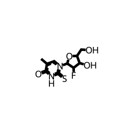 Cc1cn(C2OC(CO)C(O)C2F)c(=S)[nH]c1=O